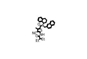 CCC(CC)C(=O)Nc1sc(C(=O)N(Cc2ccc3ccccc3c2)C2CCCc3ccccc32)c(C)c1C#N